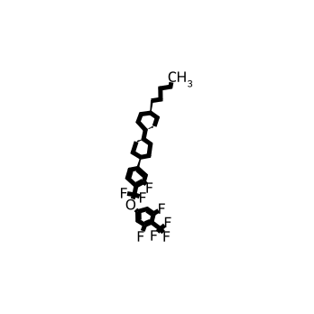 CCCCC[C@H]1CC[C@H]([C@H]2CC[C@H](c3ccc(C(F)(F)Oc4cc(F)c(C(F)(F)F)c(F)c4)c(F)c3)CC2)CC1